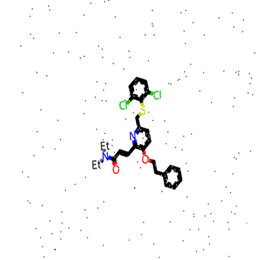 CCN(CC)C(=O)C=Cc1nc(CSc2c(Cl)cccc2Cl)ccc1OCCc1ccccc1